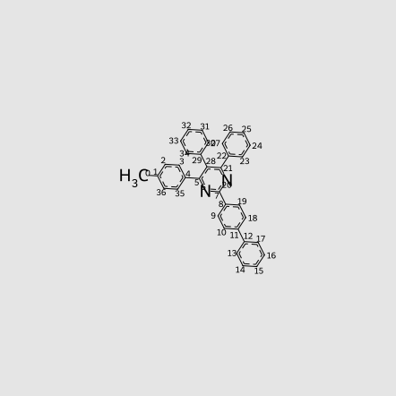 Cc1ccc(-c2nc(-c3ccc(-c4ccccc4)cc3)nc(-c3ccccc3)c2-c2ccccc2)cc1